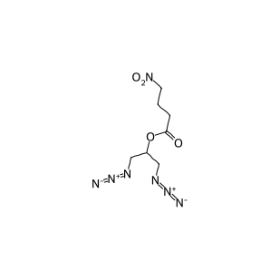 [N-]=[N+]=NCC(CN=[N+]=[N-])OC(=O)CCC[N+](=O)[O-]